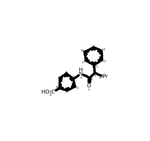 CC(C)C(C(=O)Nc1ccc(C(=O)O)cc1)c1ccccc1